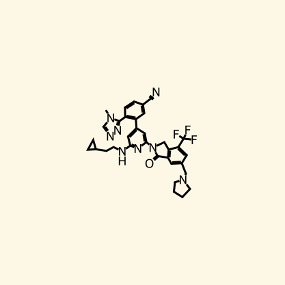 Cn1cnnc1-c1ccc(C#N)cc1-c1cc(NCCC2CC2)nc(N2Cc3c(cc(CN4CCCC4)cc3C(F)(F)F)C2=O)c1